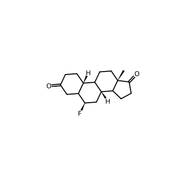 C[C@]12CCC3[C@H]4CCC(=O)CC4[C@H](F)C[C@H]3C1CCC2=O